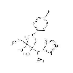 CC(c1nc[nH]n1)C(O)(COc1ccc(F)cc1)C(C)(C)CF